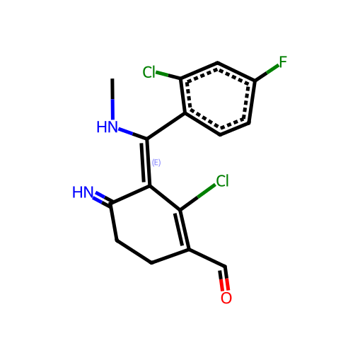 CN/C(=C1\C(=N)CCC(C=O)=C1Cl)c1ccc(F)cc1Cl